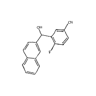 N#Cc1ccc(F)c(C(O)c2ccc3ccccc3c2)c1